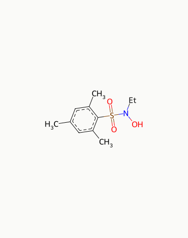 CCN(O)S(=O)(=O)c1c(C)cc(C)cc1C